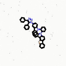 c1ccc(-c2nnn(-c3ccc4c(c3)c3ccccc3n4-c3ccccc3-n3c4ccccc4c4c5sc6ccccc6c5ccc43)c2-c2ccccc2)cc1